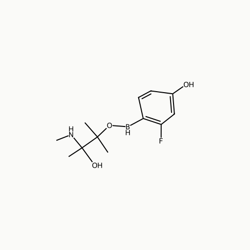 CNC(C)(O)C(C)(C)OBc1ccc(O)cc1F